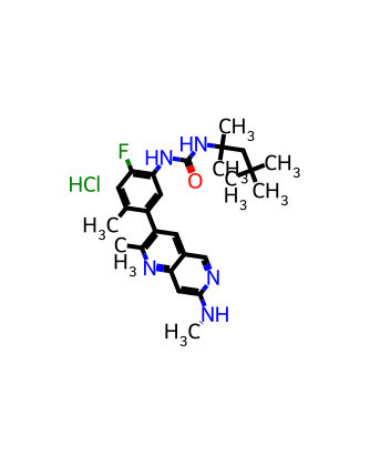 CNc1cc2nc(C)c(-c3cc(NC(=O)NC(C)(C)CC(C)(C)C)c(F)cc3C)cc2cn1.Cl